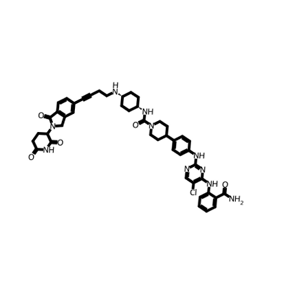 NC(=O)c1ccccc1Nc1nc(Nc2ccc(C3CCN(C(=O)N[C@H]4CC[C@@H](NCCC#Cc5ccc6c(c5)CN(C5CCC(=O)NC5=O)C6=O)CC4)CC3)cc2)ncc1Cl